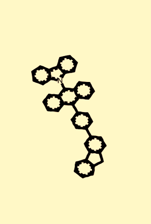 c1ccc2c(c1)Cc1ccc(-c3ccc(-c4c5ccccc5c(-n5c6ccccc6c6ccccc65)c5ccccc45)cc3)cc1-2